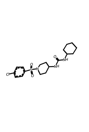 O=C(NC1CCCCC1)NC1CCN(S(=O)(=O)c2ccc(Cl)cc2)CC1